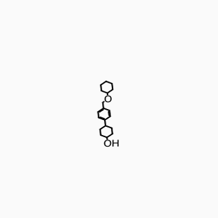 OC1CCC(c2ccc(COC3CCCCC3)cc2)CC1